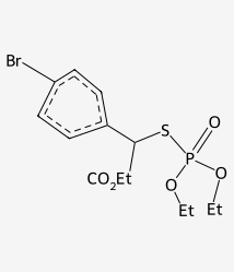 CCOC(=O)C(SP(=O)(OCC)OCC)c1ccc(Br)cc1